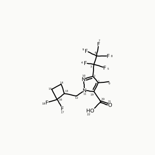 Cc1c(C(F)(F)C(F)(F)F)nn(CC2CCC2(F)F)c1C(=O)O